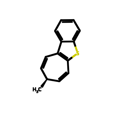 C[C@@H]1C=Cc2sc3ccccc3c2C=C1